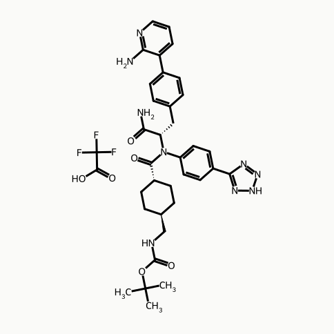 CC(C)(C)OC(=O)NC[C@H]1CC[C@H](C(=O)N(c2ccc(-c3nn[nH]n3)cc2)[C@@H](Cc2ccc(-c3cccnc3N)cc2)C(N)=O)CC1.O=C(O)C(F)(F)F